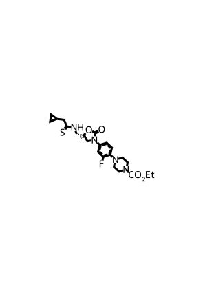 CCOC(=O)N1CCN(c2ccc(N3C[C@H](CNC(=S)CC4CC4)OC3=O)cc2F)CC1